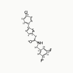 O=C(Cc1ccc(-c2ccc(Cl)cc2)s1)NCc1cc(F)cc(F)c1